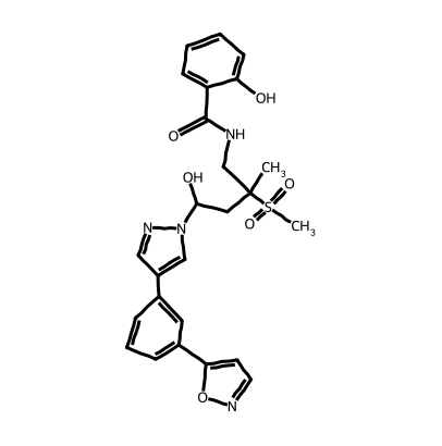 CC(CNC(=O)c1ccccc1O)(CC(O)n1cc(-c2cccc(-c3ccno3)c2)cn1)S(C)(=O)=O